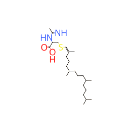 CC(=N)NC(CSC=C(C)CCCC(C)CCCC(C)CCCC(C)C)C(=O)O